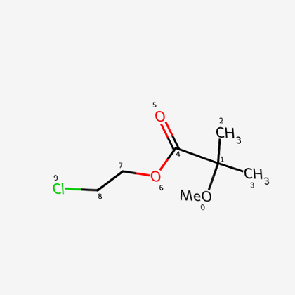 COC(C)(C)C(=O)OCCCl